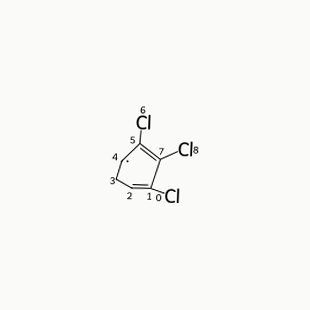 ClC1=CC[CH]C(Cl)=C1Cl